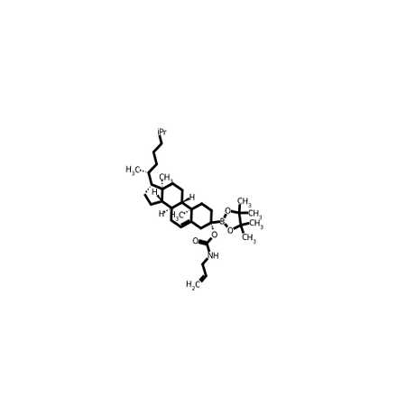 C=CCNC(=O)O[C@@]1(B2OC(C)(C)C(C)(C)O2)CC[C@@]2(C)C(=CC[C@H]3[C@@H]4CC[C@H]([C@H](C)CCCC(C)C)[C@@]4(C)CC[C@@H]32)C1